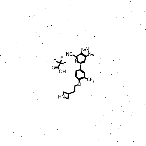 Cn1nnc2c(C#N)nc(-c3ccc(OCCC4CNC4)c(C(F)(F)F)c3)cc21.O=C(O)C(F)(F)F